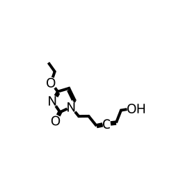 CCOc1ccn(CCC=C=CCO)c(=O)n1